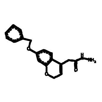 NNC(=O)CC1=CCOc2cc(OCc3ccccc3)ccc21